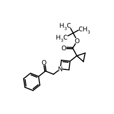 CC(C)(C)OC(=O)C1(C2=CN(CC(=O)c3ccccc3)C2)CC1